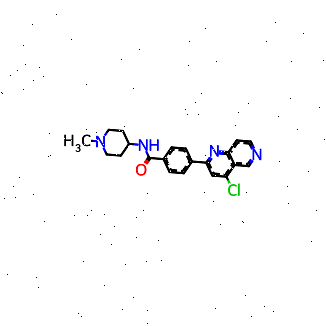 CN1CCC(NC(=O)c2ccc(-c3cc(Cl)c4cnccc4n3)cc2)CC1